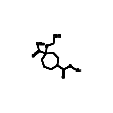 COC(=O)C1(OCC=O)CCCN(C(=O)OC(C)(C)C)CC1